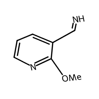 COc1ncccc1C=N